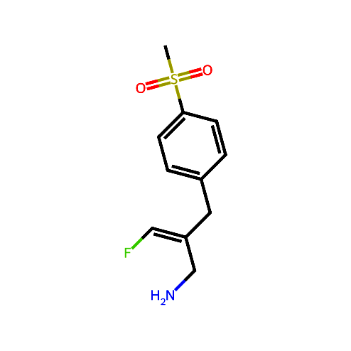 CS(=O)(=O)c1ccc(CC(=CF)CN)cc1